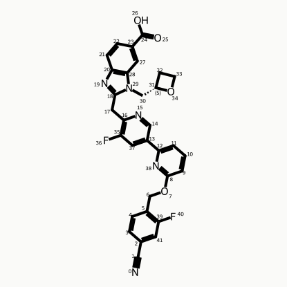 N#Cc1ccc(COc2cccc(-c3cnc(Cc4nc5ccc(C(=O)O)cc5n4C[C@@H]4CCO4)c(F)c3)n2)c(F)c1